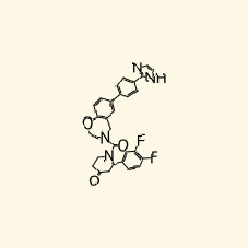 O=C1CCN(C(=O)N2CCOc3ccc(-c4ccc(-c5ncc[nH]5)cc4)cc3C2)C(c2ccc(F)c(F)c2)C1